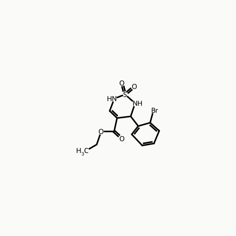 CCOC(=O)C1=CNS(=O)(=O)NC1c1ccccc1Br